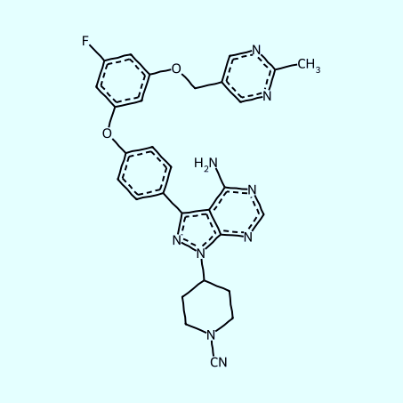 Cc1ncc(COc2cc(F)cc(Oc3ccc(-c4nn(C5CCN(C#N)CC5)c5ncnc(N)c45)cc3)c2)cn1